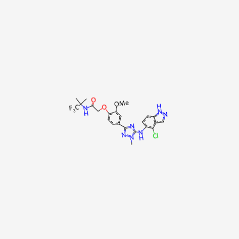 COc1cc(-c2nc(Nc3ccc4[nH]ncc4c3Cl)n(C)n2)ccc1OCC(=O)NC(C)(C)C(F)(F)F